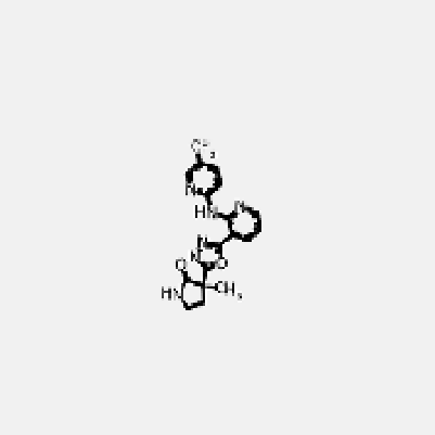 C[C@@]1(c2nnc(-c3cccnc3Nc3ccc(C(F)(F)F)cn3)o2)CCNC1=O